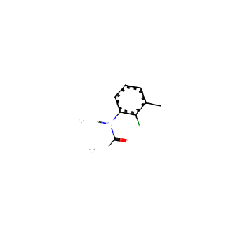 COC(=O)N(OC)c1cccc(C)c1Br